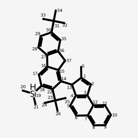 CC1=Cc2c(ccc3ccccc23)C1c1c2c(cc([SiH](C)C)c1C(C)(C)C)-c1ccc(C(C)(C)C)cc1[CH]2